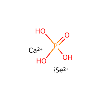 O=P(O)(O)O.[Ca+2].[Se+2]